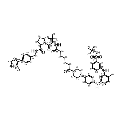 Cc1cnc(Nc2ccc(N3CCN(C(=O)CCCCCC(=O)N[C@H](C(=O)N4CCCC4C(=O)NCc4ccc(-c5scnc5C)cc4)C(C)(C)C)CC3)cc2)nc1Nc1cccc(S(=O)(=O)NC(C)(C)C)c1